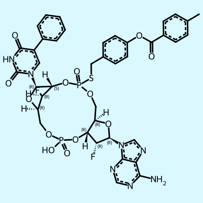 Cc1ccc(C(=O)Oc2ccc(CSP3(=O)OC[C@H]4O[C@@H](n5cnc6c(N)ncnc65)[C@H](F)[C@@H]4OP(=O)(O)OC[C@H]4O[C@@H](n5cc(-c6ccccc6)c(=O)[nH]c5=O)[C@H](O3)[C@@H]4F)cc2)cc1